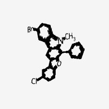 Cn1c2ccc(Br)cc2c2cc3c(oc4ccc(Cl)cc43)c(-c3ccccc3)c21